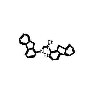 CCN(CN(CC)c1cccc2c1Cc1ccccc1-2)c1cccc2c1Cc1ccccc1-2